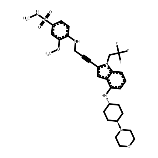 CNS(=O)(=O)c1ccc(NCC#Cc2cc3c(N[C@H]4CC[C@H](N5CCOCC5)CC4)cccc3n2CC(F)(F)F)c(OC)c1